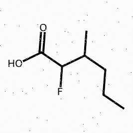 CCCC(C)C(F)C(=O)O